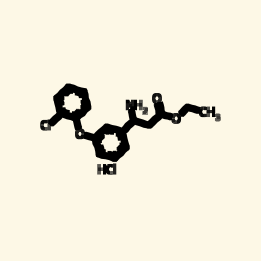 CCOC(=O)CC(N)c1cccc(Oc2ccccc2Cl)c1.Cl